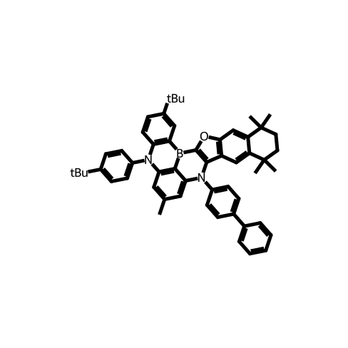 Cc1cc2c3c(c1)N(c1ccc(-c4ccccc4)cc1)c1c(oc4cc5c(cc14)C(C)(C)CCC5(C)C)B3c1cc(C(C)(C)C)ccc1N2c1ccc(C(C)(C)C)cc1